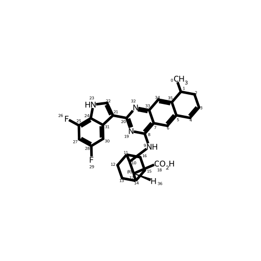 CC1CC=Cc2cc3c(NC4C5CCC(CC5)[C@H]4C(=O)O)nc(-c4c[nH]c5c(F)cc(F)cc45)nc3cc21